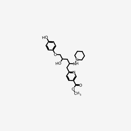 COC(=O)c1ccc(CC(CC(O)COc2ccc(O)cc2)NN2CCCCC2)nc1